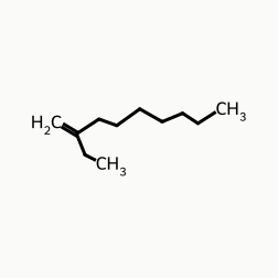 C=C(CC)CCCCCCC